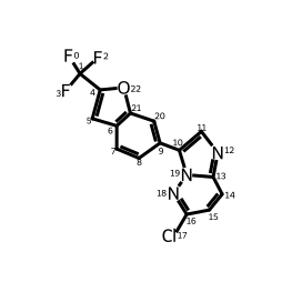 FC(F)(F)c1cc2ccc(-c3cnc4ccc(Cl)nn34)cc2o1